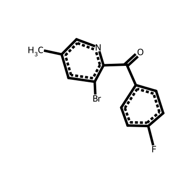 Cc1cnc(C(=O)c2ccc(F)cc2)c(Br)c1